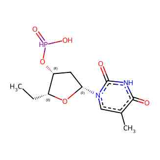 CC[C@H]1O[C@@H](n2cc(C)c(=O)[nH]c2=O)C[C@H]1O[PH](=O)O